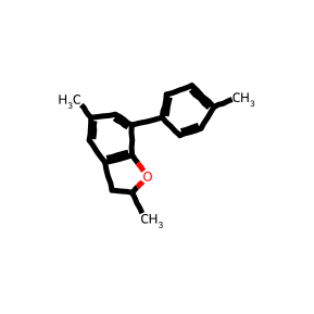 Cc1ccc(-c2cc(C)cc3c2OC(C)C3)cc1